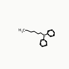 CCCCCCB(c1ccccc1)c1ccccc1